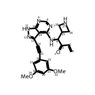 C=CC(=O)C(Nc1ncnc2[nH]nc(C#Cc3cc(OC)cc(OC)c3)c12)C1CNC1